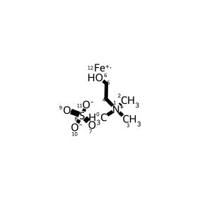 C[N+](C)(C)CCO.O=S(=O)([O-])[O-].[Fe+]